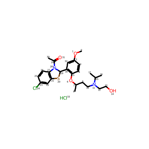 COc1ccc(OC(C)CCN(CCO)C(C)C)c(C2Sc3cc(Cl)ccc3N2C(C)=O)c1.Cl